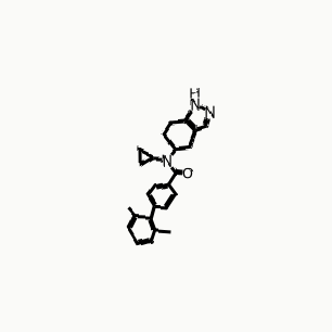 Cc1cccc(C)c1-c1ccc(C(=O)N(C2CC2)C2CCc3[nH]ncc3C2)cc1